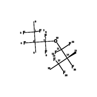 CC(F)(F)C(C)(F)C(F)(F)OC(F)(F)[C@](C)(F)C(C)(F)F